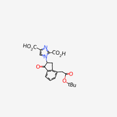 CC(C)(C)OC(=O)Cc1cccc2c1CC(n1cc(C(=O)O)nc1C(=O)O)C2=O